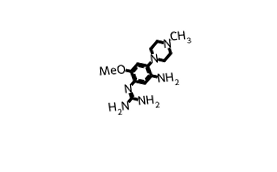 COc1cc(N2CCN(C)CC2)c(N)cc1N=C(N)N